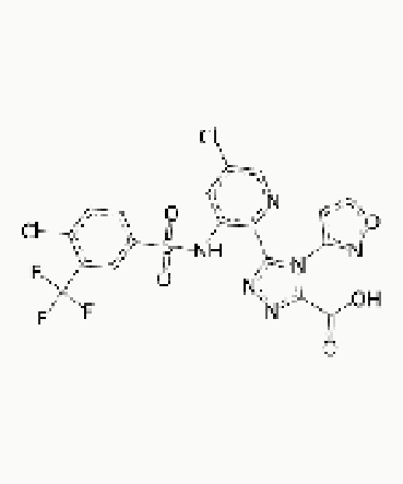 O=C(O)c1nnc(-c2ncc(Cl)cc2NS(=O)(=O)c2ccc(Cl)c(C(F)(F)F)c2)n1-c1ccon1